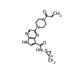 C=CC(=O)N1CCN(c2cnc3[nH]cc(C(=O)N[C@@H]4C[C@H]4C(F)(F)F)c3n2)CC1